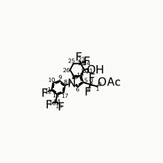 CC(=O)OCC(F)(F)c1cn(-c2ccc(F)c(C(F)F)c2)c2c1[C@H](O)C(F)(F)CC2